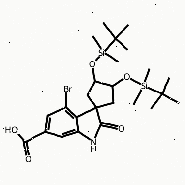 CC(C)(C)[Si](C)(C)OC1CC2(CC1O[Si](C)(C)C(C)(C)C)C(=O)Nc1cc(C(=O)O)cc(Br)c12